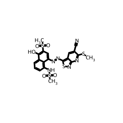 CSc1nc2nsc(/N=N/c3cc(S(C)(=O)=O)c(O)c4cccc(NS(C)(=O)=O)c34)c2cc1C#N